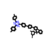 Cc1ccc(-c2nc(-c3ccc(C)cc3)nc(-c3ccc(-c4ccc(-c5ccc6c(c5)C(C)(C5=CC(C)CC(C)C5)c5ccccc5-6)cc4)cc3)n2)cc1